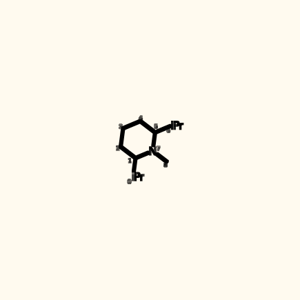 CC(C)C1CCCC(C(C)C)N1C